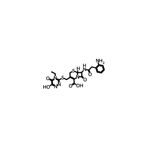 CCn1c(SCC2=C(C(=O)O)N3C(=O)C(NC(=O)Cc4ccccc4N)[C@H]3SC2)nnc(O)c1=O